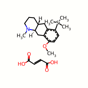 COc1ccc([Si](C)(C)C)c2c1C[C@@H]1[C@H](CCCN1C)C2.O=C(O)C=CC(=O)O